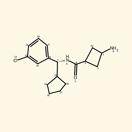 NC1CC(C(=O)N[C@@H](c2cccc(Cl)c2)C2CCCC2)C1